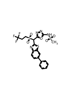 CS(=O)(=O)Nc1nnc(C(c2nc3ccc(-c4ccccc4)cc3s2)S(=O)(=O)CCC(F)(F)F)o1